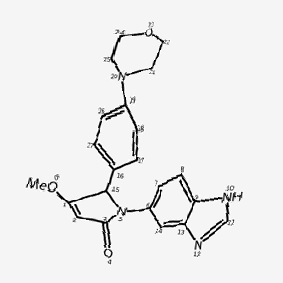 COC1=CC(=O)N(c2ccc3[nH]cnc3c2)C1c1ccc(N2CCOCC2)cc1